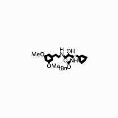 COc1cc(CCNC[C@H](O)[C@H](Cc2ccccc2)NC(=O)OC(C)(C)C)cc(OC)c1